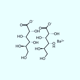 O=C([O-])[C@H](O)[C@@H](O)[C@H](O)[C@H](O)CO.O=C([O-])[C@H](O)[C@@H](O)[C@H](O)[C@H](O)CO.[Ba+2]